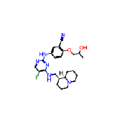 CC(O)COc1ccc(Nc2ncc(F)c(NC[C@@H]3CCCN4CCCC[C@H]34)n2)cc1C#N